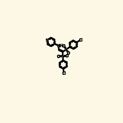 O=S(=O)(C(=CNc1ccncc1)S(=O)(=O)c1ccc(Cl)cc1)c1ccc(Cl)cc1